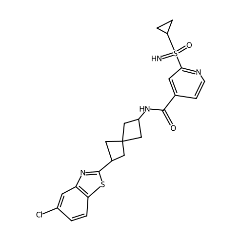 N=S(=O)(c1cc(C(=O)NC2CC3(C2)CC(c2nc4cc(Cl)ccc4s2)C3)ccn1)C1CC1